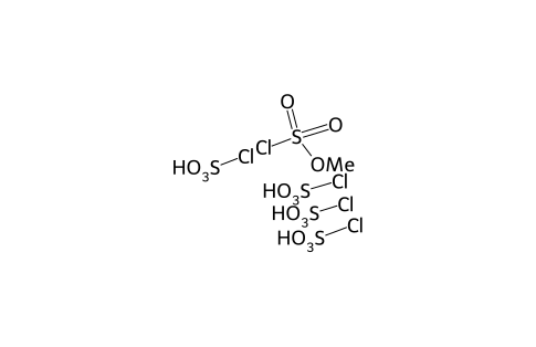 COS(=O)(=O)Cl.O=S(=O)(O)Cl.O=S(=O)(O)Cl.O=S(=O)(O)Cl.O=S(=O)(O)Cl